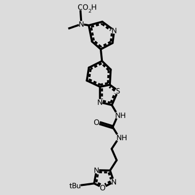 CN(C(=O)O)c1cncc(-c2ccc3nc(NC(=O)NCCc4noc(C(C)(C)C)n4)sc3c2)c1